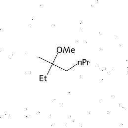 C[CH]CCC(C)(CC)OC